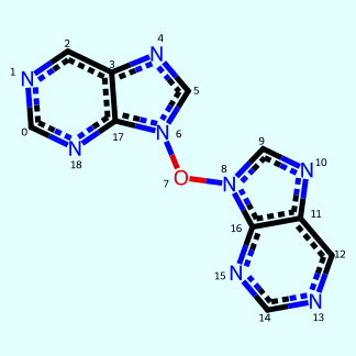 c1ncc2ncn(On3cnc4cncnc43)c2n1